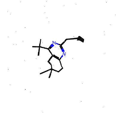 C#CCc1nc2c(c(C(C)(C)C)n1)CC(C)(C)CC2